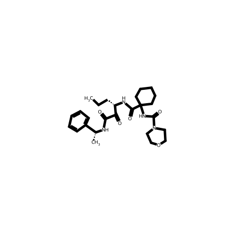 CCC[C@H](NC(=O)C1(NC(=O)N2CCOCC2)CCCCC1)C(=O)C(=O)N[C@H](C)c1ccccc1